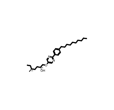 CCCCCCCCCCc1ccc(-c2ncc(OC[C@H](O)CC[C@@H](C)CC)cn2)cc1